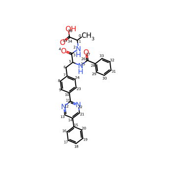 CC(NC(=O)C(Cc1ccc(-c2ncc(-c3ccccc3)cn2)cc1)NC(=O)c1ccccc1)C(=O)O